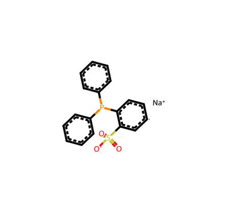 O=S(=O)([O-])c1c[c]ccc1P(c1ccccc1)c1ccccc1.[Na+]